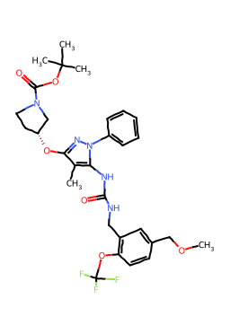 COCc1ccc(OC(F)(F)F)c(CNC(=O)Nc2c(C)c(O[C@@H]3CCN(C(=O)OC(C)(C)C)C3)nn2-c2ccccc2)c1